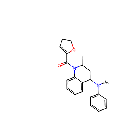 CC(=O)N(c1ccccc1)C1CC(C)N(C(=O)C2=CCCO2)c2ccccc21